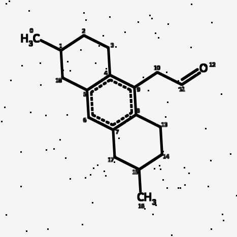 CC1CCc2c(cc3c(c2CC=O)CCC(C)C3)C1